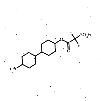 CCCC1CCC(C2CCC(OC(=O)C(F)(F)S(=O)(=O)O)CC2)CC1